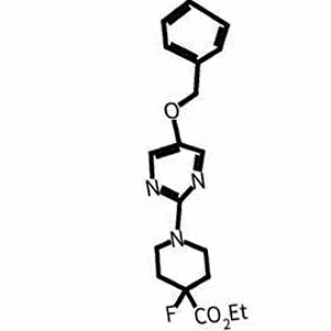 CCOC(=O)C1(F)CCN(c2ncc(OCc3ccc(F)cc3)cn2)CC1